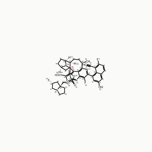 C#Cc1c(F)ccc2cc(O)cc(-c3nc4c5c(nc(OC[C@@]67CCCN6C[C@H](F)C7)nc5c3F)N3C[C@H]5CC[C@@H]([C@H]3CC[C@H]4C)N5Cc3oc(=O)oc3CCCCCCCC)c12